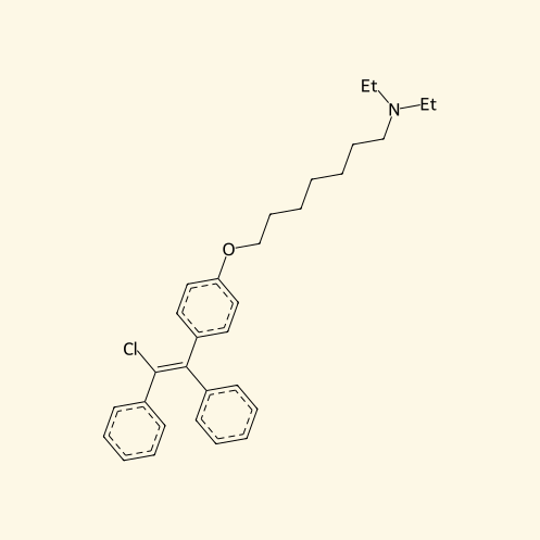 CCN(CC)CCCCCCCOc1ccc(/C(=C(\Cl)c2ccccc2)c2ccccc2)cc1